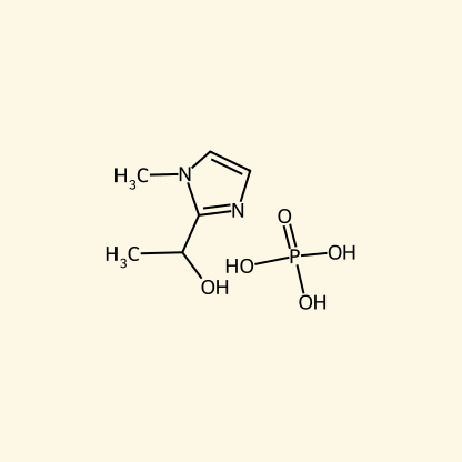 CC(O)c1nccn1C.O=P(O)(O)O